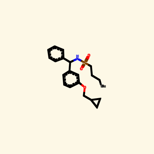 CC(C)(C)CCCS(=O)(=O)NC(c1ccccc1)c1cccc(OCC2CC2)c1